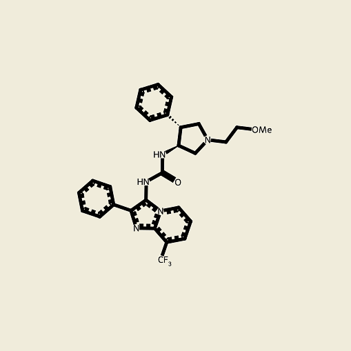 COCCN1C[C@@H](NC(=O)Nc2c(-c3ccccc3)nc3c(C(F)(F)F)cccn23)[C@H](c2ccccc2)C1